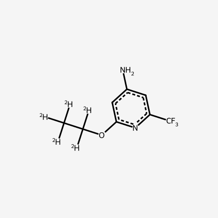 [2H]C([2H])([2H])C([2H])([2H])Oc1cc(N)cc(C(F)(F)F)n1